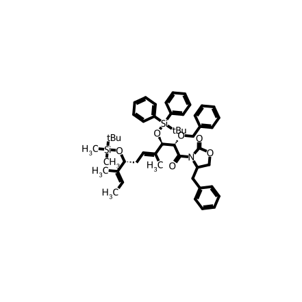 CC=C(C)[C@@H](CC=C(C)[C@@H](O[Si](c1ccccc1)(c1ccccc1)C(C)(C)C)[C@H](OCc1ccccc1)C(=O)N1C(=O)OCC1Cc1ccccc1)O[Si](C)(C)C(C)(C)C